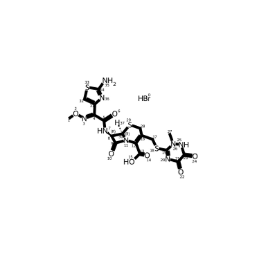 Br.CON=C(C(=O)N[C@@H]1C(=O)N2C(C(=O)O)=C(CSc3nc(=O)c(=O)[nH]n3C)CS[C@H]12)c1csc(N)n1